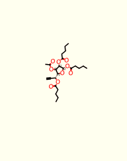 C#CC(OC(=O)CCCC)[C@H]1O[C@@H](OC(=O)CCCC)[C@@H](OC(=O)CCCC)[C@@H]1OC(C)=O